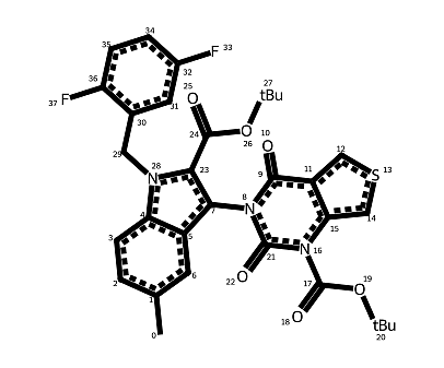 Cc1ccc2c(c1)c(-n1c(=O)c3cscc3n(C(=O)OC(C)(C)C)c1=O)c(C(=O)OC(C)(C)C)n2Cc1cc(F)ccc1F